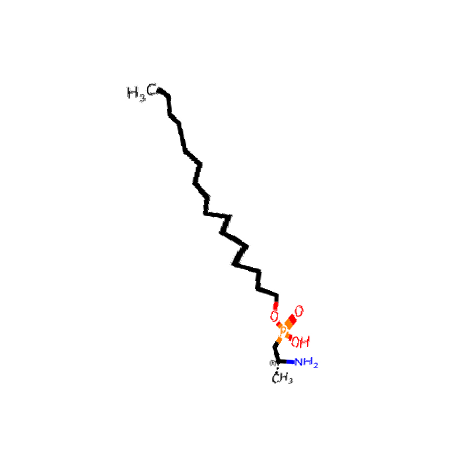 CCCCCCCCCCCCCCCCOP(=O)(O)C[C@@H](C)N